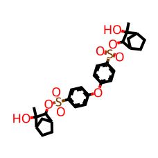 CC1(O)C2CCC(C2)C1OS(=O)(=O)c1ccc(Oc2ccc(S(=O)(=O)OC3C4CCC(C4)C3(C)O)cc2)cc1